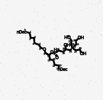 CCCCCCCCCCCCCCCCOCC(CCCCCCCCCCCCCC)O[PH](=O)CCC(O)C[N+](CCO)(CCO)CCO